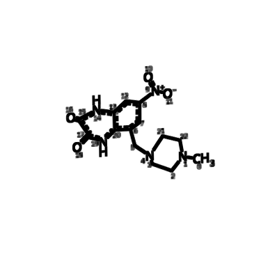 CN1CCN(Cc2cc([N+](=O)[O-])cc3[nH]c(=O)c(=O)[nH]c23)CC1